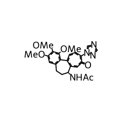 COc1cc2c(c(OC)c1OC)-c1ccc(-n3cncn3)c(=O)cc1[C@@H](NC(C)=O)CC2